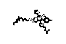 C=C(CCNC[C@H]1CC2=C(C3=NC(CCC(C)F)C=C3)[C@H](c3ccc(F)cc3Cl)N=C(C3CC=CS3)N2C1)CC(C)(C)CCCC